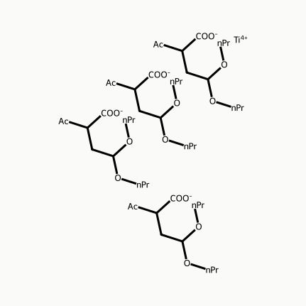 CCCOC(CC(C(C)=O)C(=O)[O-])OCCC.CCCOC(CC(C(C)=O)C(=O)[O-])OCCC.CCCOC(CC(C(C)=O)C(=O)[O-])OCCC.CCCOC(CC(C(C)=O)C(=O)[O-])OCCC.[Ti+4]